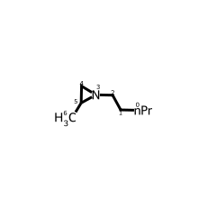 CCCCCN1CC1C